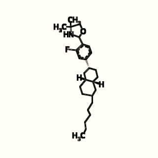 CCCCCCC1CC[C@@H]2C[C@H](c3ccc(C4NC(C)(C)CO4)c(F)c3)CC[C@@H]2C1